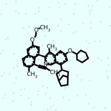 CC#Cc1c(C)ccc2cc(OCOC)cc(-c3ncc4c(C5CC6CCC(C6)C5)cc(OC5CCCCC5)cc4c3C)c12